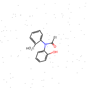 CCC(=O)N(c1ccccc1O)c1ccccc1C(=O)O